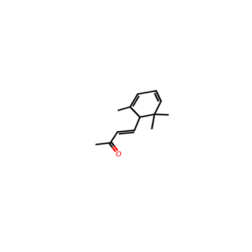 CC(=O)C=CC1C(C)=CC=CC1(C)C